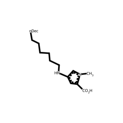 CCCCCCCCCCCCCCCCNc1cc(C(=O)O)n(C)c1